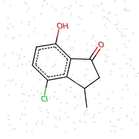 CC1CC(=O)c2c(O)ccc(Cl)c21